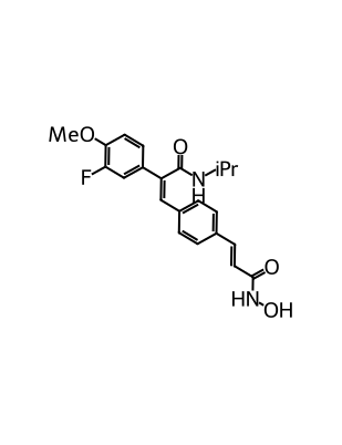 COc1ccc(C(=Cc2ccc(/C=C/C(=O)NO)cc2)C(=O)NC(C)C)cc1F